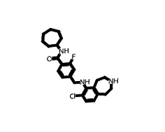 O=C(NC1CCCCCC1)c1ccc(CNc2c(Cl)ccc3c2CCNCC3)cc1F